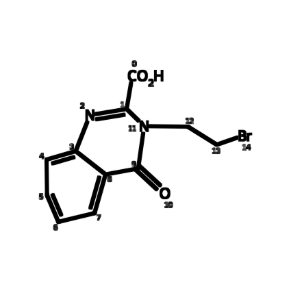 O=C(O)c1nc2ccccc2c(=O)n1CCBr